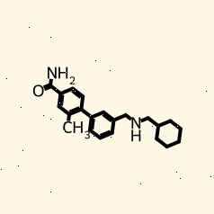 Cc1cc(C(N)=O)ccc1-c1cccc(CNCC2CCCCC2)c1